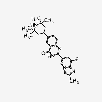 Cc1cn2cc(-c3nc4ccc(C5CC(C)(C)NC(C)(C)C5)cc4c(=O)[nH]3)cc(F)c2n1